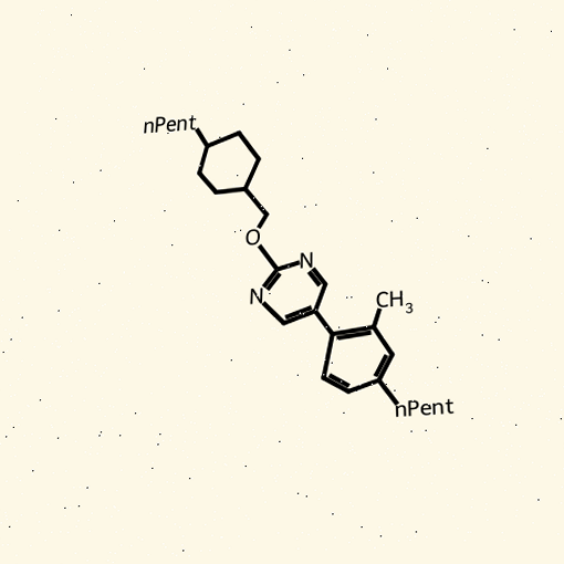 CCCCCc1ccc(-c2cnc(OCC3CCC(CCCCC)CC3)nc2)c(C)c1